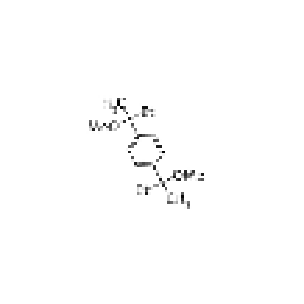 CCC(C)(OC)c1ccc(C(C)(CC)OC)cc1